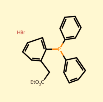 Br.CCOC(=O)Cc1ccccc1P(c1ccccc1)c1ccccc1